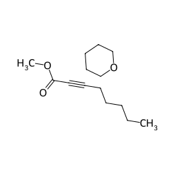 C1CCOCC1.CCCCCC#CC(=O)OC